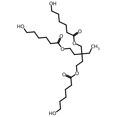 CCC(CCOC(=O)CCCCCO)(CCOC(=O)CCCCCO)COC(=O)CCCCCO